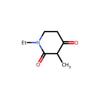 CCN1CCC(=O)C(C)C1=O